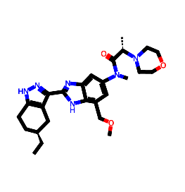 CC[C@H]1CCc2[nH]nc(-c3nc4cc(N(C)C(=O)[C@H](C)N5CCOCC5)cc(COC)c4[nH]3)c2C1